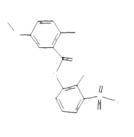 COc1ccc(C)c(C(=O)Nc2cccc(S(N)(=O)=O)c2C)c1